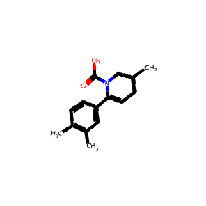 Cc1ccc(C2=CCC(C)CN2C(=O)O)cc1C